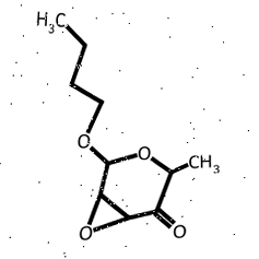 CCCCOC1OC(C)C(=O)C2OC12